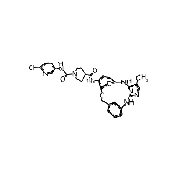 Cc1cnc2nc1Nc1ccc(NC(=O)C3CCN(C(=O)Nc4ccc(Cl)nc4)CC3)c(c1)CCc1cccc(c1)N2